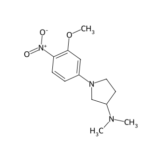 COc1cc(N2CCC(N(C)C)C2)ccc1[N+](=O)[O-]